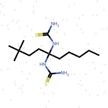 CCCCCC(CCC(C)(C)C)(NC(N)=S)NC(N)=S